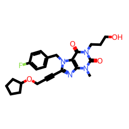 Cn1c(=O)n(CCCO)c(=O)c2c1nc(C#CCOC1CCCC1)n2Cc1ccc(F)cc1